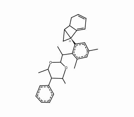 Cc1cc(C)c(C(C)C2OC(C)C(c3ccccc3)C(C)O2)c([C@@]23CC2C2CC=CC=C23)c1